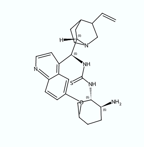 C=CC1CN2CCC1C[C@H]2[C@@H](NC(=S)N[C@H]1CCCC[C@@H]1N)c1ccnc2ccc(OC)cc12